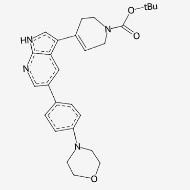 CC(C)(C)OC(=O)N1CC=C(c2c[nH]c3ncc(-c4ccc(N5CCOCC5)cc4)cc23)CC1